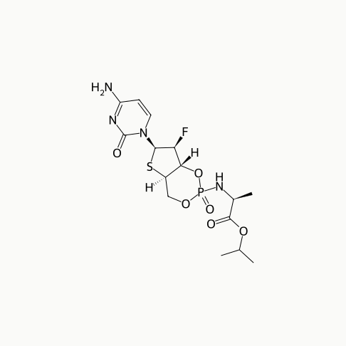 CC(C)OC(=O)[C@H](C)NP1(=O)OC[C@H]2S[C@@H](n3ccc(N)nc3=O)[C@@H](F)[C@@H]2O1